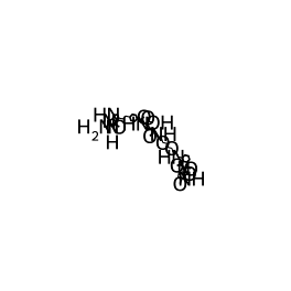 Nc1nc2[nH]cc(CCc3ccc(C(=O)NC(CCC(=O)NCCOCCOCCNc4cccc5c4C(=O)N(C4CCC(=O)NC4=O)C5=O)C(=O)O)cc3)c2c(=O)[nH]1